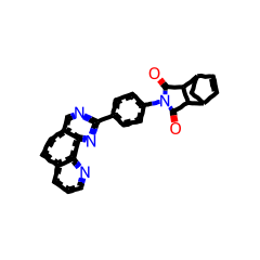 O=C1C2C3C=CC(C3)C2C(=O)N1c1ccc(-c2ncc3ccc4cccnc4c3n2)cc1